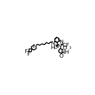 O=C1CCC(n2c(C(F)(F)F)nc3cccc(NCCCCCCCN4CCC5(CC4)CC(F)(F)C5)c3c2=O)C(=O)N1